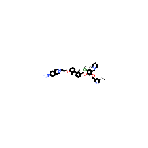 Cc1c(COc2cc(OCc3cncc(C#N)c3)c(CN3CCCC[C@H]3C(=O)O)cc2Cl)cccc1-c1cccc(OCCCN2CCC3(CCC(N)CC3)CC2)c1C